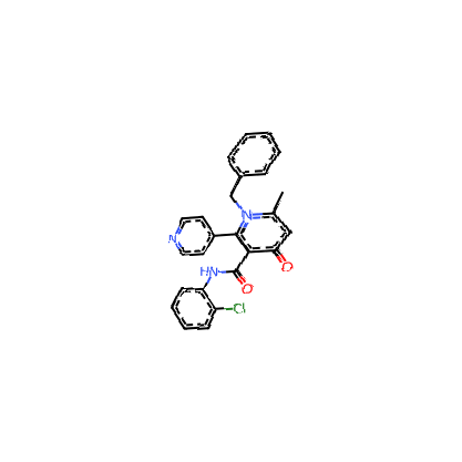 Cc1cc(=O)c(C(=O)Nc2ccccc2Cl)c(-c2ccncc2)n1Cc1ccccc1